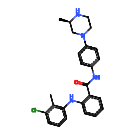 Cc1c(Cl)cccc1Nc1ccccc1C(=O)Nc1ccc(N2CCN[C@H](C)C2)cc1